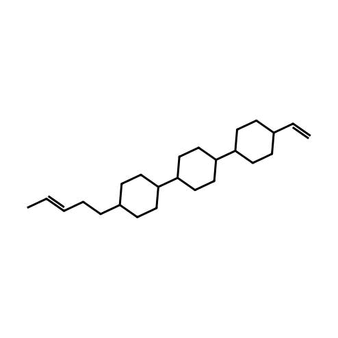 C=CC1CCC(C2CCC(C3CCC(CCC=CC)CC3)CC2)CC1